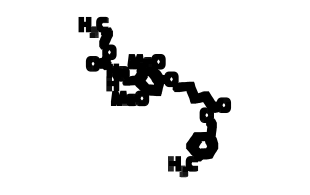 C=CCOC(=O)NOCc1c(OC)cc(OCCCCC(=O)OCc2ccc(C)cc2)cc1OC